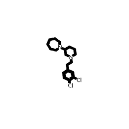 Clc1ccc(CCN2CCCC(N3CCCCCC3)C2)cc1Cl